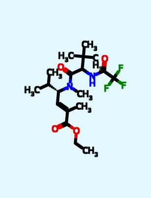 CCOC(=O)/C(C)=C/[C@H](C(C)C)N(C)C(=O)C(NC(=O)C(F)(F)F)C(C)(C)C